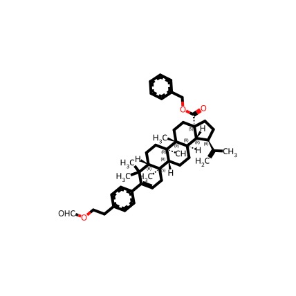 C=C(C)[C@@H]1CC[C@]2(C(=O)OCc3ccccc3)CC[C@]3(C)[C@H](CC[C@@H]4[C@@]5(C)CC=C(c6ccc(CCOC=O)cc6)C(C)(C)[C@@H]5CC[C@]43C)[C@@H]12